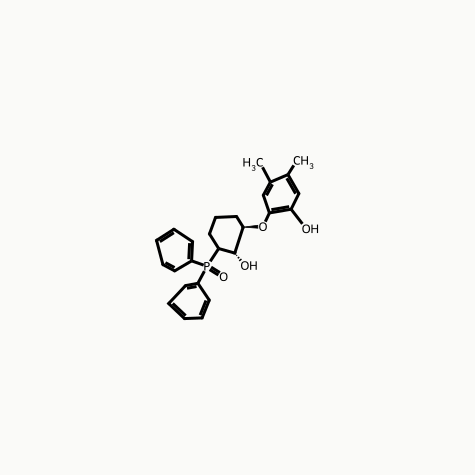 Cc1cc(O)c(O[C@@H]2CCCC(P(=O)(c3ccccc3)c3ccccc3)[C@H]2O)cc1C